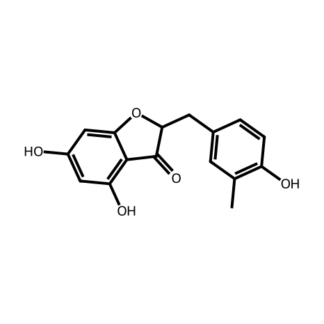 Cc1cc(CC2Oc3cc(O)cc(O)c3C2=O)ccc1O